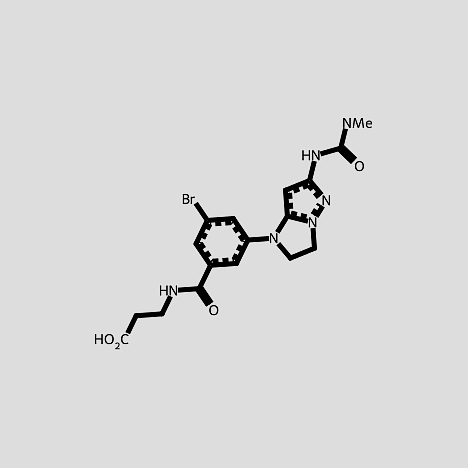 CNC(=O)Nc1cc2n(n1)CCN2c1cc(Br)cc(C(=O)NCCC(=O)O)c1